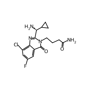 NC(=O)CCCn1c([C@@H](N)C2CC2)nc2c(Cl)cc(F)cc2c1=O